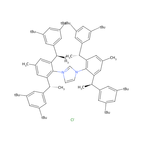 Cc1cc([C@H](C)c2cc(C(C)(C)C)cc(C(C)(C)C)c2)c(-n2cc[n+](-c3c([C@H](C)c4cc(C(C)(C)C)cc(C(C)(C)C)c4)cc(C)cc3[C@H](C)c3cc(C(C)(C)C)cc(C(C)(C)C)c3)c2)c([C@H](C)c2cc(C(C)(C)C)cc(C(C)(C)C)c2)c1.[Cl-]